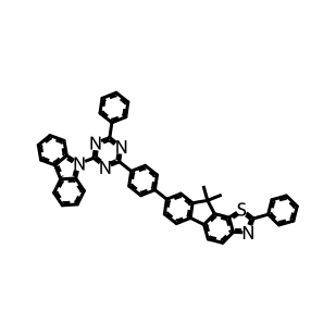 CC1(C)c2cc(-c3ccc(-c4nc(-c5ccccc5)nc(-n5c6ccccc6c6ccccc65)n4)cc3)ccc2-c2ccc3nc(-c4ccccc4)sc3c21